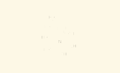 C=C[Si](C)(C)C(C)N(C(C)C)C(C)C